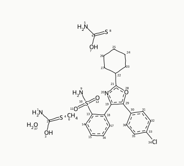 C.NC(O)=S.NC(O)=S.NS(=O)(=O)c1ccccc1-c1nc(C2CCCCC2)oc1-c1ccc(Cl)cc1.O